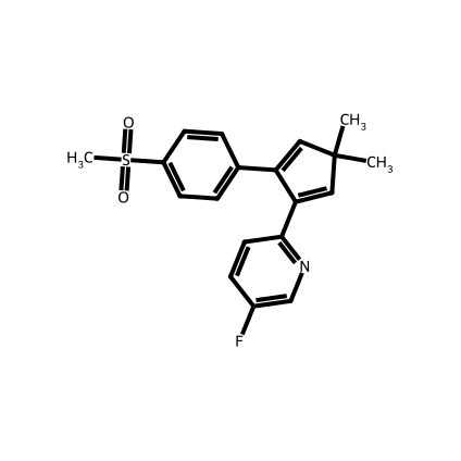 CC1(C)C=C(c2ccc(S(C)(=O)=O)cc2)C(c2ccc(F)cn2)=C1